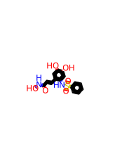 O=C(C=Cc1cc(O)c(O)cc1NS(=O)(=O)c1ccccc1)NO